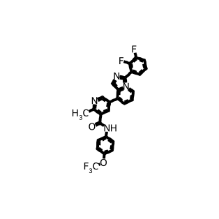 Cc1ncc(-c2cccn3c(-c4cccc(F)c4F)ncc23)cc1C(=O)Nc1ccc(OC(F)(F)F)cc1